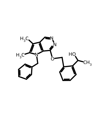 Cc1c(C)n(Cc2ccccc2)c2c(OCc3ccccc3C(C)O)nncc12